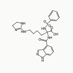 O=C(NC(CCCCNC1=NCCN1)(NS(=O)(=O)c1ccccc1)C(=O)O)c1cccc2[nH]ncc12